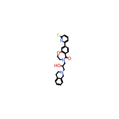 O=C1c2ccc(-c3cccc(F)n3)cc2OCCN1CC(O)CN1CCc2ccccc2C1